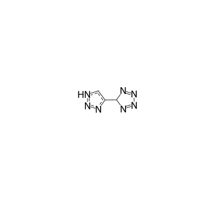 c1[nH]nnc1C1N=NN=N1